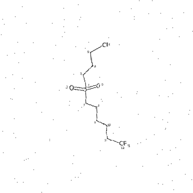 O=S(=O)(CCCCl)CCCCCC(F)(F)F